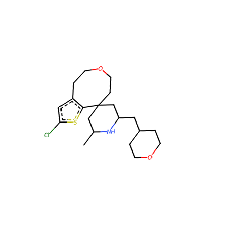 CC1CC2(CCOCCc3cc(Cl)sc32)CC(CC2CCOCC2)N1